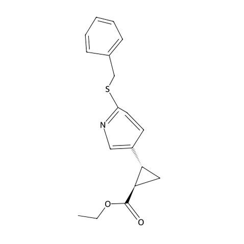 CCOC(=O)[C@@H]1C[C@H]1c1ccc(SCc2ccccc2)nc1